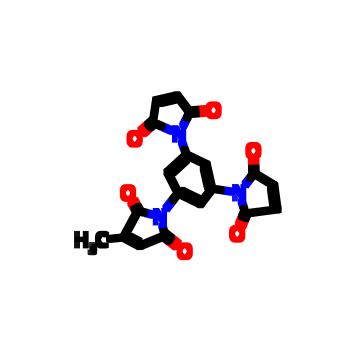 CC1=CC(=O)N(c2cc(N3C(=O)C=CC3=O)cc(N3C(=O)C=CC3=O)c2)C1=O